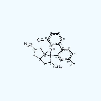 CC1CC2CC(C)C3(c4cc(F)ccc4-c4cccc(Cl)c4)OC23C1